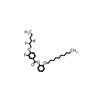 CCCCCCCCCCOc1ccccc1OC(=O)c1ccc(OC[C@@H](F)[C@H](F)CCC)c(F)c1